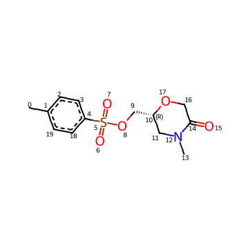 Cc1ccc(S(=O)(=O)OC[C@H]2CN(C)C(=O)CO2)cc1